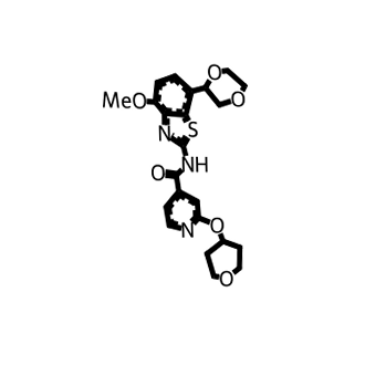 COc1ccc(C2COCCO2)c2sc(NC(=O)c3ccnc(OC4CCOCC4)c3)nc12